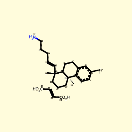 CC(C)c1ccc2c(c1)CCC1[C@@](C)(C=CCCCN)CCC[C@]21C.O=C(O)/C=C/C(=O)O